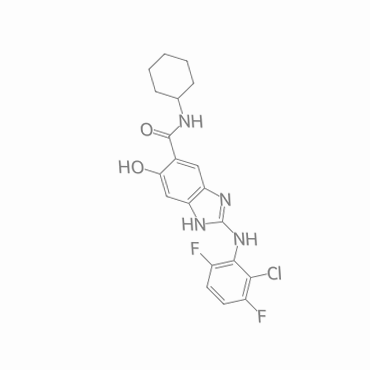 O=C(NC1CCCCC1)c1cc2nc(Nc3c(F)ccc(F)c3Cl)[nH]c2cc1O